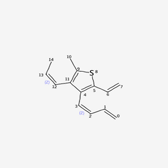 C=C/C=C\c1c(C=C)sc(C)c1/C=C\C